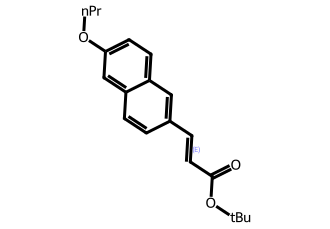 CCCOc1ccc2cc(/C=C/C(=O)OC(C)(C)C)ccc2c1